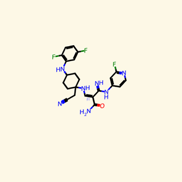 N#CCC1(N/C=C(\C(=N)Nc2ccnc(F)c2)C(N)=O)CCC(Nc2cc(F)ccc2F)CC1